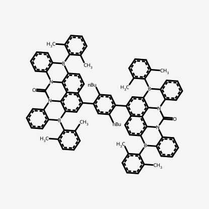 CCCCc1cc(-c2cc3c4c5c6c(ccc25)B(c2c(C)cccc2C)c2ccccc2N6C(=O)N4c2ccccc2B3c2c(C)cccc2C)c(CCCC)cc1-c1cc2c3c4c5c(ccc14)B(c1c(C)cccc1C)c1ccccc1N5C(=O)N3c1ccccc1B2c1c(C)cccc1C